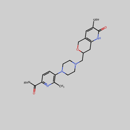 CNC(=O)c1ccc(N2CCN(CC3Cc4[nH]c(=O)c(SC)cc4CO3)CC2)c(C)n1